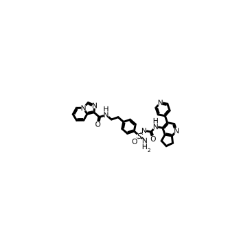 NS(=O)(=NC(=O)Nc1c(-c2ccncc2)cnc2c1CCC2)c1ccc(CCNC(=O)c2ncn3ccccc23)cc1